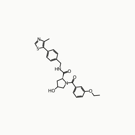 CCOc1cccc(C(=O)N2CC(O)C[C@H]2C(=O)NCc2ccc(-c3scnc3C)cc2)c1